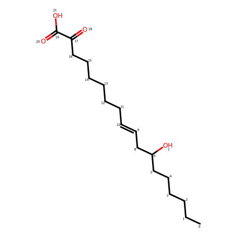 CCCCCCC(O)CC=CCCCCCCC(=O)C(=O)O